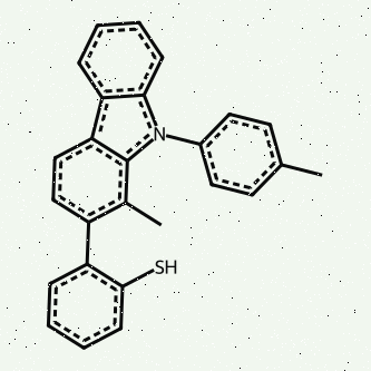 Cc1ccc(-n2c3ccccc3c3ccc(-c4ccccc4S)c(C)c32)cc1